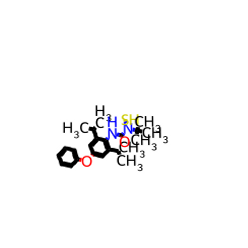 CC(C)c1cc(Oc2ccccc2)cc(C(C)C)c1NC(=O)N(S)C(C)(C)C